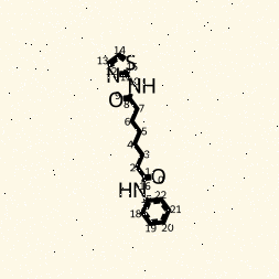 O=C(CCCCCCC(=O)Nc1nccs1)Nc1ccccc1